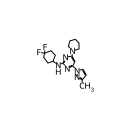 Cc1ccn(-c2cc(N3CCCCC3)nc(NC3CCC(F)(F)CC3)n2)n1